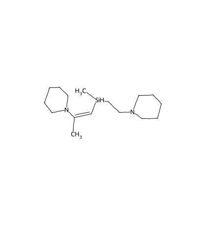 CC(=C[SiH](C)CCN1CCCCC1)N1CCCCC1